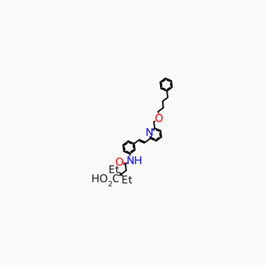 CCC(CC)(CC(=O)Nc1cccc(C=Cc2cccc(COCCCCc3ccccc3)n2)c1)C(=O)O